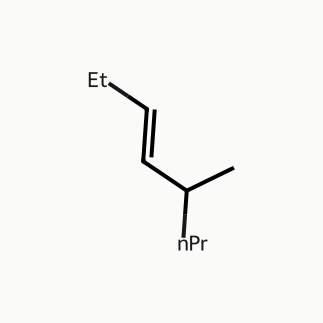 [CH2]CCC(C)/C=C/CC